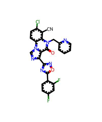 N#Cc1c(Cl)ccc2c1n(Cc1ccccn1)c(=O)c1c(-c3noc(-c4ccc(F)cc4F)n3)ncn12